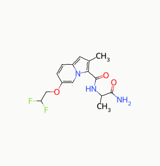 Cc1cc2ccc(OCC(F)F)cn2c1C(=O)NC(C)C(N)=O